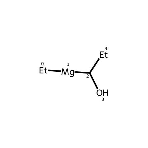 C[CH2][Mg][CH](O)CC